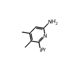 Cc1cc(N)nc(C(C)C)c1C